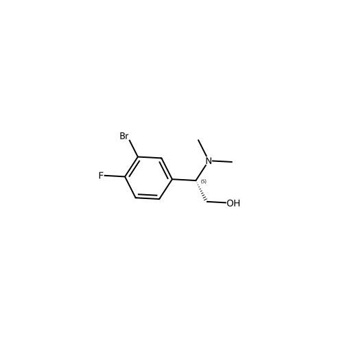 CN(C)[C@H](CO)c1ccc(F)c(Br)c1